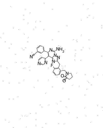 N#Cc1cccc(-c2nc(N)n3nc(Cc4c(F)cccc4CN4CCCS4(=O)=O)nc3c2-c2ccncn2)c1